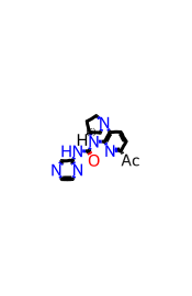 CC(=O)c1ccc2c(n1)N(C(=O)Nc1cnccn1)[C@H]1CCN2C1